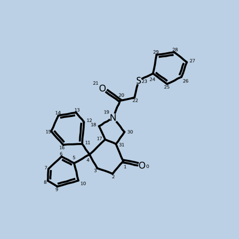 O=C1CCC(c2ccccc2)(c2ccccc2)C2CN(C(=O)CSc3ccccc3)CC12